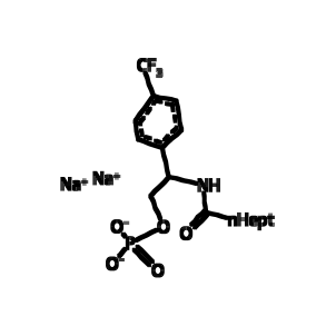 CCCCCCCC(=O)NC(COP(=O)([O-])[O-])c1ccc(C(F)(F)F)cc1.[Na+].[Na+]